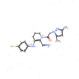 Cc1cc(C(F)(F)F)nn1CC(=O)N1CCCC(Nc2ccc(F)cc2)=C1C=N